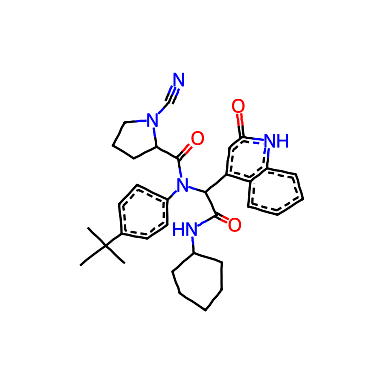 CC(C)(C)c1ccc(N(C(=O)C2CCCN2C#N)C(C(=O)NC2CCCCC2)c2cc(=O)[nH]c3ccccc23)cc1